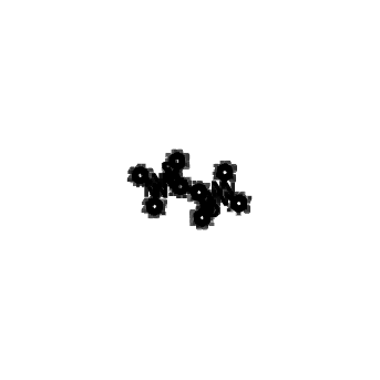 c1ccc(-c2nc(-c3ccccc3)nc(-n3c4ccc(-c5ccc6c(c5)c5c7ccccc7sc5n6-c5nc(-c6ccccc6)nc(-c6ccccc6)n5)cc4c4c5ccccc5oc43)n2)cc1